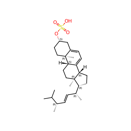 CC(C)[C@@H](C)C=C[C@@H](C)[C@H]1CC[C@H]2C3=CC=C4C[C@@H](OS(=O)(=O)O)CC[C@]4(C)[C@H]3CC[C@]12C